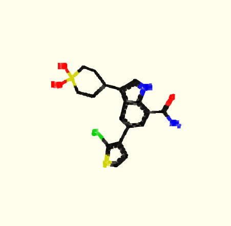 NC(=O)c1cc(-c2ccsc2Cl)cc2c(C3CCS(O)(O)CC3)c[nH]c12